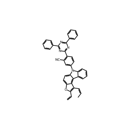 C=Cc1oc2ccc3c(c4ccccc4n3-c3ccc(-c4nc(-c5ccccc5)nc(-c5ccccc5)n4)c(C#N)c3)c2c1/C=C\C